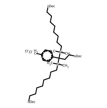 CCCCCCCCCCCCCCCCCC[N+](C)(C)C(CCCCCCCCCCCC)(c1ccc(C)cc1)[N+](C)(C)CCCCCCCCCCCCCCCCCC.[Cl-].[Cl-]